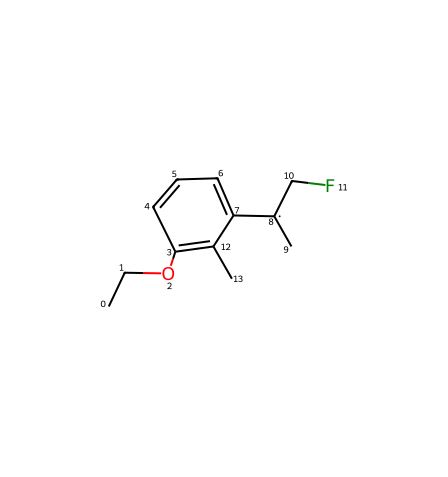 CCOc1cccc([C](C)CF)c1C